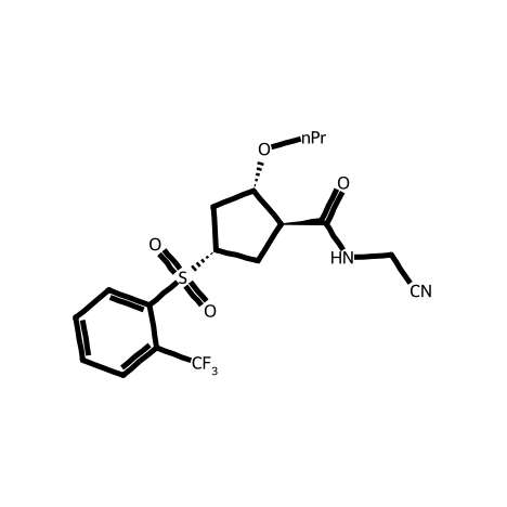 CCCO[C@H]1C[C@@H](S(=O)(=O)c2ccccc2C(F)(F)F)C[C@@H]1C(=O)NCC#N